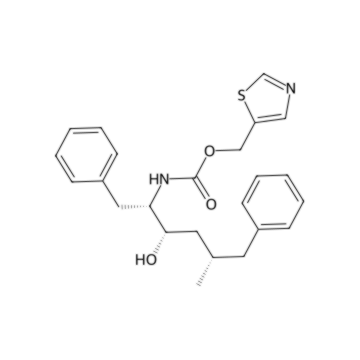 C[C@@H](Cc1ccccc1)C[C@H](O)[C@H](Cc1ccccc1)NC(=O)OCc1cncs1